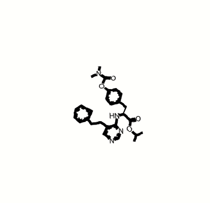 CC(C)OC(=O)[C@H](Cc1ccc(OC(=O)N(C)C)cc1)Nc1ncncc1CCc1ccccc1